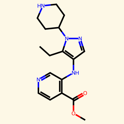 CCc1c(Nc2cnccc2C(=O)OC)cnn1C1CCNCC1